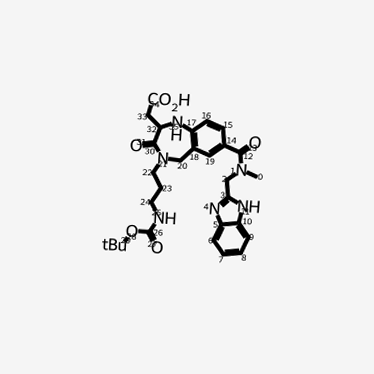 CN(Cc1nc2ccccc2[nH]1)C(=O)c1ccc2c(c1)CN(CCCNC(=O)OC(C)(C)C)C(=O)C(CC(=O)O)N2